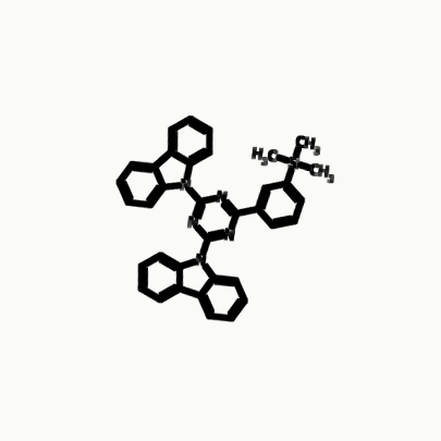 C[Si](C)(C)c1cccc(-c2nc(-n3c4ccccc4c4ccccc43)nc(-n3c4ccccc4c4ccccc43)n2)c1